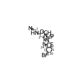 Cn1c(CC(=O)NCC#N)c2n(c1=S)C[C@@]1(c3cc(Br)ccc3F)CC21